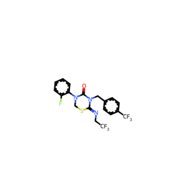 O=C1N(Cc2ccc(C(F)(F)F)cc2)C(=NCC(F)(F)F)SCN1c1ccccc1F